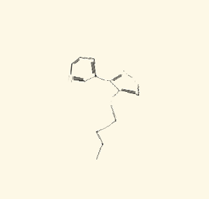 CCCCSc1conc1-c1cccnc1